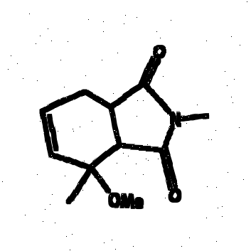 COC1(C)C=CCC2C(=O)N(C)C(=O)C21